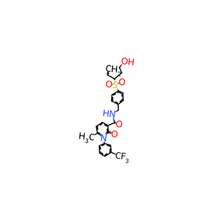 C=CC(CCO)S(=O)(=O)c1ccc(CNC(=O)c2ccc(C)n(-c3cccc(C(F)(F)F)c3)c2=O)cc1